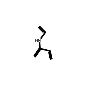 C=CNC(=C)C=C